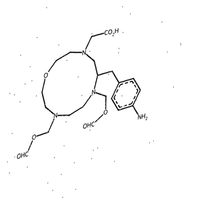 Nc1ccc(CC2CN(CC(=O)O)CCOCCN(COC=O)CCN2COC=O)cc1